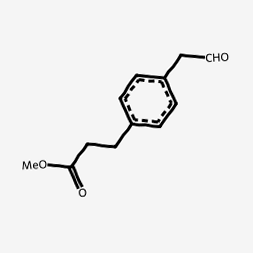 COC(=O)CCc1ccc(CC=O)cc1